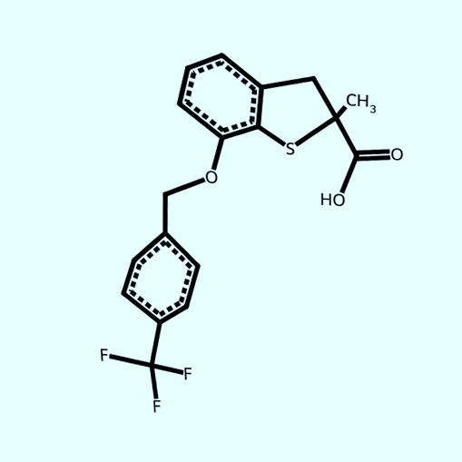 CC1(C(=O)O)Cc2cccc(OCc3ccc(C(F)(F)F)cc3)c2S1